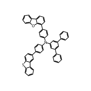 c1ccc(-c2cc(-c3ccccc3)cc(N(c3ccc(-c4ccc5sc6ccccc6c5c4)cc3)c3ccc(-c4cccc5c4oc4ccccc45)cc3)c2)cc1